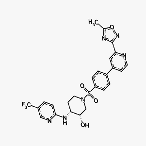 Cc1nc(-c2cc(-c3ccc(S(=O)(=O)N4CC[C@@H](Nc5ccc(C(F)(F)F)cn5)[C@@H](O)C4)cc3)ccn2)no1